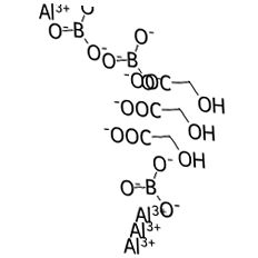 O=C([O-])CO.O=C([O-])CO.O=C([O-])CO.[Al+3].[Al+3].[Al+3].[Al+3].[O-]B([O-])[O-].[O-]B([O-])[O-].[O-]B([O-])[O-]